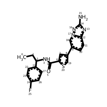 CCC(NC(=O)c1cc(-c2ccc3nc(N)nn3c2)cs1)c1ccc(F)cc1